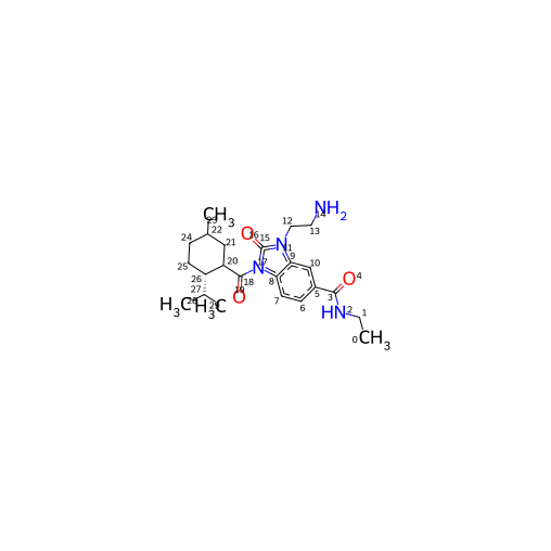 CCNC(=O)c1ccc2c(c1)n(CCN)c(=O)n2C(=O)C1CC(C)CC[C@H]1C(C)C